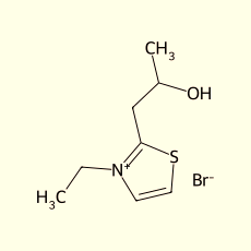 CC[n+]1ccsc1CC(C)O.[Br-]